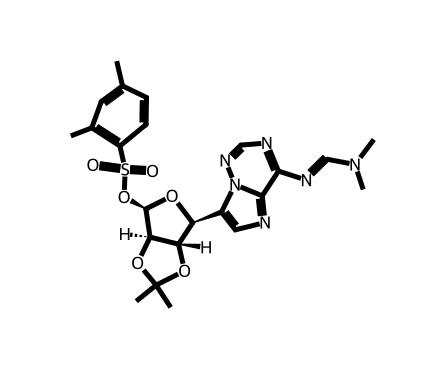 Cc1ccc(S(=O)(=O)O[C@H]2O[C@@H](c3cnc4c(/N=C/N(C)C)ncnn34)[C@@H]3OC(C)(C)O[C@@H]23)c(C)c1